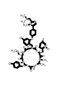 COC[C@@H]1NC(=O)[C@H](C)N(Cc2ccc(Cl)cc2Oc2ccc(-c3cnc(CN(C)C)n3C)cc2)C(=O)C[C@@H](Cc2ccc(F)c[n+]2[O-])C(=O)N(C)[C@@H](C)CNC(=O)C[C@H](Cc2ccc(Cl)cc2)N(C)C1=O